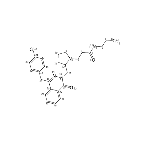 CCCNC(=O)CCN1CCCC1Cn1nc(Cc2ccc(Cl)cc2)c2ccccc2c1=O